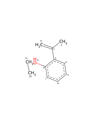 C=C(C)c1ccccc1O.CC